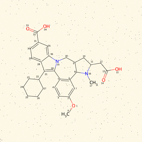 COc1ccc2c(c1)C1C(CC(CC(=O)O)N1C)Cn1c-2c(C2CCCCC2)c2ccc(C(=O)O)cc21